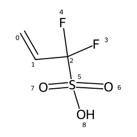 C=CC(F)(F)S(=O)(=O)O